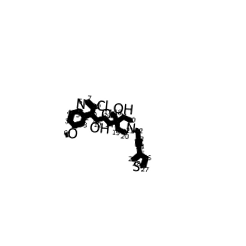 COc1ccc2ncc(Cl)c([C@@H](O)CCC3(C(=O)O)CCN(CC#Cc4ccsc4)CC3)c2c1